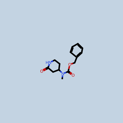 CN(C(=O)OCc1ccccc1)C1CCNC(=O)C1